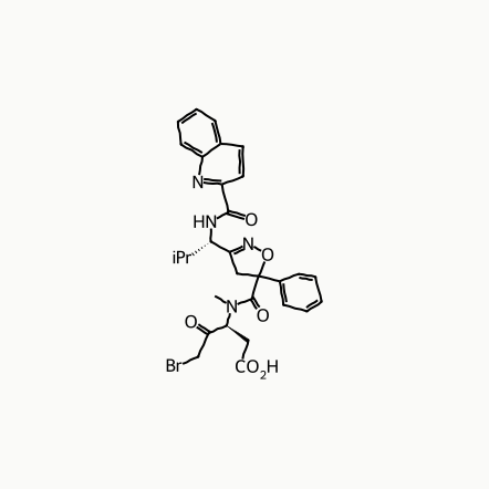 CC(C)[C@H](NC(=O)c1ccc2ccccc2n1)C1=NOC(C(=O)N(C)[C@@H](CC(=O)O)C(=O)CBr)(c2ccccc2)C1